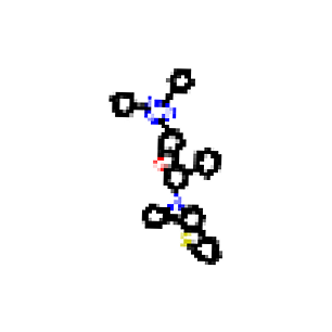 c1ccc(-c2nc(-c3ccccc3)nc(-c3ccc4c(c3)oc3cc(-n5c6ccccc6c6c7sc8ccccc8c7ccc65)cc(-c5ccccc5)c34)n2)cc1